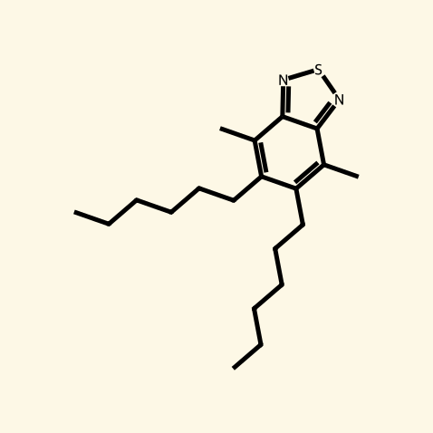 CCCCCCc1c(CCCCCC)c(C)c2nsnc2c1C